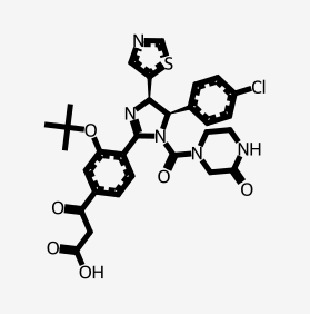 CC(C)(C)Oc1cc(C(=O)CC(=O)O)ccc1C1=N[C@@H](c2cncs2)[C@@H](c2ccc(Cl)cc2)N1C(=O)N1CCNC(=O)C1